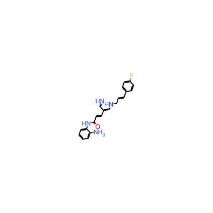 N=CC(=C\NC/C=C/c1ccc(F)cc1)/C=C/C(=O)Nc1ccccc1N